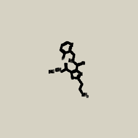 C=C(C)c1sc(CCN)nc1C(=O)NCc1ncccc1F.Cl.Cl